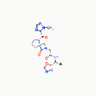 CC(C)C(NC(=O)CN1CC2(CCCN2C(=O)c2ncnn2C)C1=O)c1nnco1